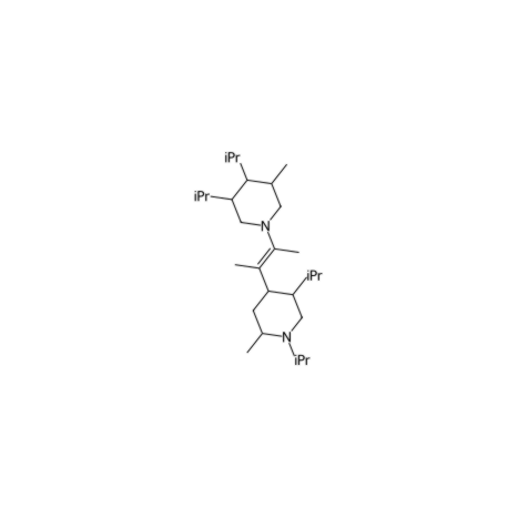 C/C(=C(/C)N1CC(C)C(C(C)C)C(C(C)C)C1)C1CC(C)N(C(C)C)CC1C(C)C